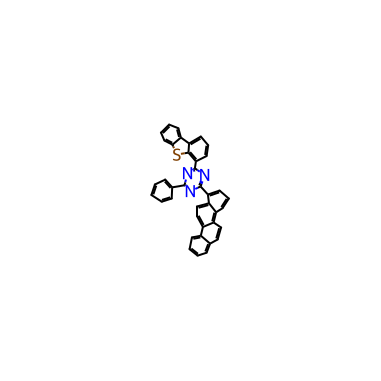 c1ccc(-c2nc(-c3cccc4c3ccc3c5ccccc5ccc43)nc(-c3cccc4c3sc3ccccc34)n2)cc1